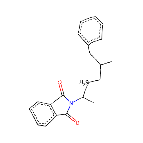 CC(C[SiH2]C(C)N1C(=O)c2ccccc2C1=O)Cc1ccccc1